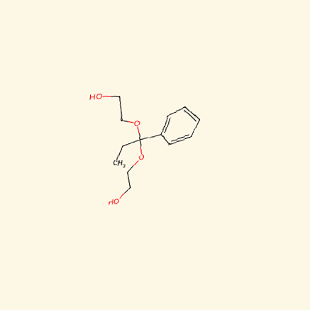 CCC(OCCO)(OCCO)c1ccccc1